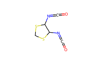 O=C=NC1SCSC1N=C=O